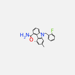 Cc1c[c]c2c3c(C(N)=O)cccc3n(Cc3ccccc3F)c2c1